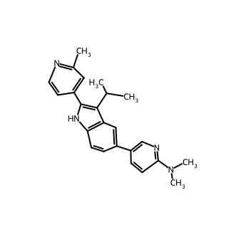 Cc1cc(-c2[nH]c3ccc(-c4ccc(N(C)C)nc4)cc3c2C(C)C)ccn1